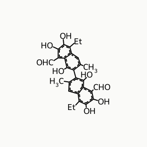 CCc1c(O)c(O)c(C=O)c2c(O)c(-c3c(C)cc4c(CC)c(O)c(O)c(C=O)c4c3O)c(C)cc12